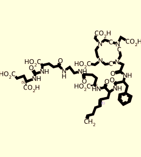 C=CCC/C=C/CC(NC(=O)C(Cc1ccccc1)NC(=O)CN1CCN(CC(=O)O)CCN(CC(=O)O)CCN(CC(=O)O)CC1)C(=O)N[C@H](CCC(=O)NCCNC(=O)CCC(NC(=O)N[C@@H](CCC(=O)O)C(=O)O)C(=O)O)C(=O)O